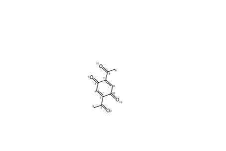 CC(=O)C1=CC(=O)C(C(C)=O)=CC1=O